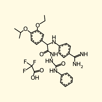 CCOc1cc(C(Nc2ccc(C(=N)N)cc2)C(=O)NNC(=O)Nc2ccccc2)ccc1OC(C)C.O=C(O)C(F)(F)F